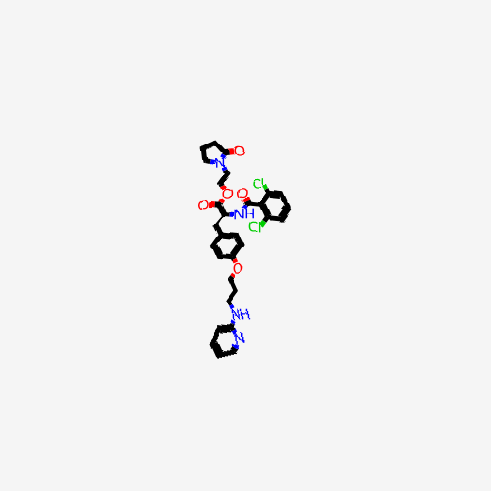 O=C(N[C@@H](Cc1ccc(OCCCNc2ccccn2)cc1)C(=O)OCCN1CCCC1=O)c1c(Cl)cccc1Cl